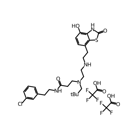 CC(C)(C)CN(CCNCCc1ccc(O)c2[nH]c(=O)sc12)CCC(=O)NCCc1cccc(Cl)c1.O=C(O)C(F)(F)F.O=C(O)C(F)(F)F